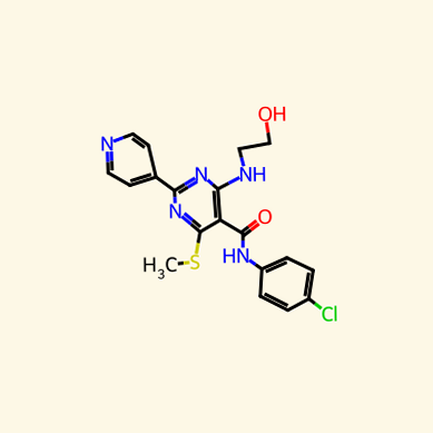 CSc1nc(-c2ccncc2)nc(NCCO)c1C(=O)Nc1ccc(Cl)cc1